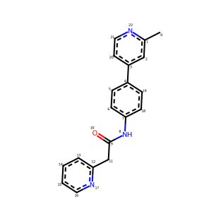 Cc1cc(-c2ccc(NC(=O)Cc3ccccn3)cc2)ccn1